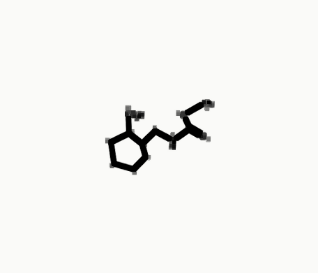 CC(C)(C)OC(=O)NCC1CCCCC1C(=O)O